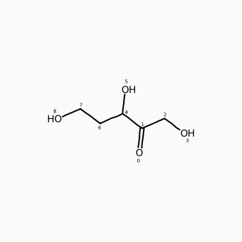 O=C(CO)C(O)CCO